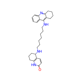 O=c1ccc2c([nH]1)CCCC2NCCCCCCCNc1c2c(nc3ccccc13)CCCC2